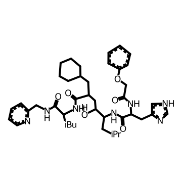 CCC(C)C(NC(=O)C(CC1CCCCC1)CC(O)C(CC(C)C)NC(=O)C(Cc1c[nH]cn1)NC(=O)COc1ccccc1)C(=O)NCc1ccccn1